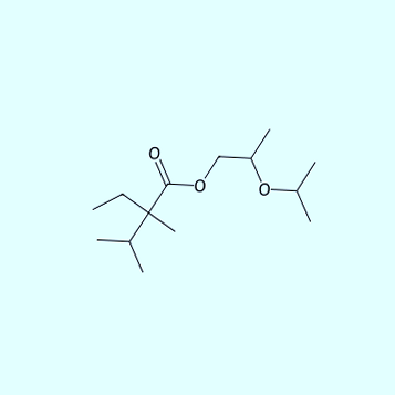 CCC(C)(C(=O)OCC(C)OC(C)C)C(C)C